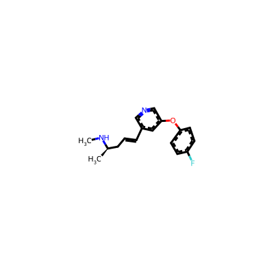 CN[C@H](C)CC=Cc1cncc(Oc2ccc(F)cc2)c1